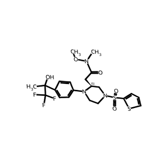 CON(C)C(=O)C[C@H]1CN(S(=O)(=O)c2cccs2)CCN1c1ccc(C(C)(O)C(F)(F)F)cc1